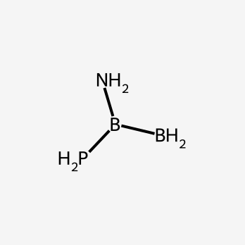 BB(N)P